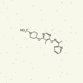 C/C(=N/Oc1ncnc(OC2CCN(C(=O)O)CC2)c1C)c1ccccn1